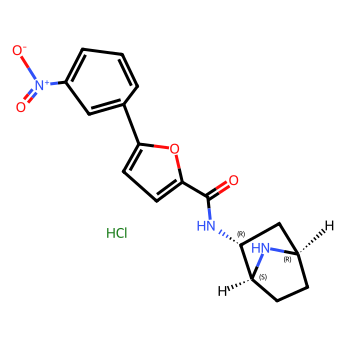 Cl.O=C(N[C@@H]1C[C@H]2CC[C@@H]1N2)c1ccc(-c2cccc([N+](=O)[O-])c2)o1